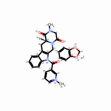 CN1CC(=O)N2[C@H](c3ccc4c(c3)OCO4)c3c(c4ccccc4n3C(=O)c3ccc[n+](C)c3)C[C@@H]2C1=O.[I-]